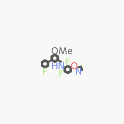 COc1cc(CNc2c(F)ccc(OC3=NC=C3)c2F)cc(-c2cccc(F)c2)c1